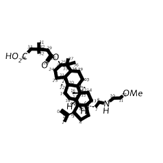 C=C(C)[C@@H]1CC[C@]2(CCNCCOC)CC[C@]3(C)[C@H](CCC4[C@@]5(C)CC[C@H](OC(=O)CC(C)(C)CC(=O)O)C(C)(C)C5CC[C@]43C)[C@@H]12